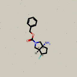 N[C@@]12CC[C@@H](F)[C@@H]1CN(C(=O)OCc1ccccc1)C2